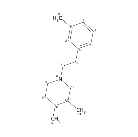 Cc1cccc(CCN2CCC(C)C(C)C2)c1